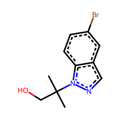 CC(C)(CO)n1ncc2cc(Br)ccc21